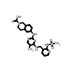 Cc1cnc(Nc2ccc3c(c2)CCN(C(=O)O)C3)nc1NCc1cccnc1NS(C)(=O)=O